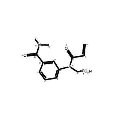 C=CC(=O)N(CC(=O)O)c1cccc(C(=O)N(C)C)c1